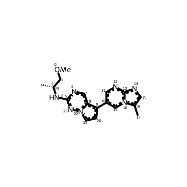 COC[C@@H](C)Nc1ncc2c(-c3cnc4ncc(C)n4c3)ccn2n1